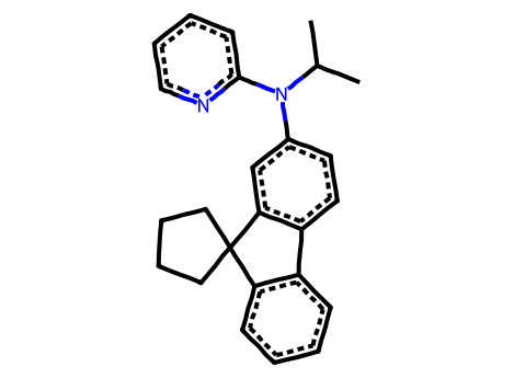 CC(C)N(c1ccc2c(c1)C1(CCCC1)c1ccccc1-2)c1ccccn1